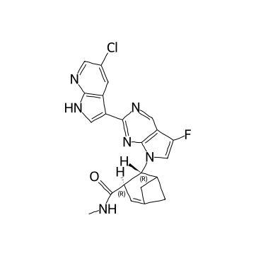 CNC(=O)[C@@H]1C=C2CC(C2)[C@H]1n1cc(F)c2cnc(-c3c[nH]c4ncc(Cl)cc34)nc21